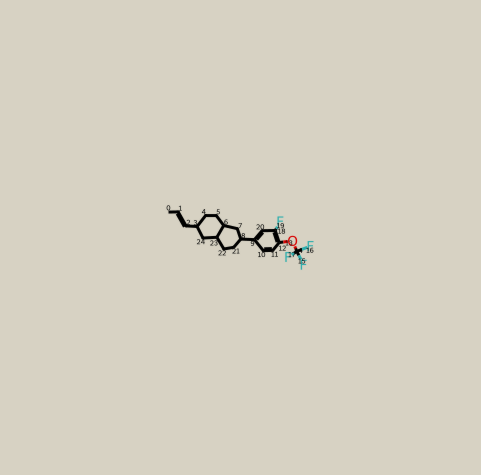 C/C=C/C1CCC2CC(c3ccc(OC(F)(F)F)c(F)c3)CCC2C1